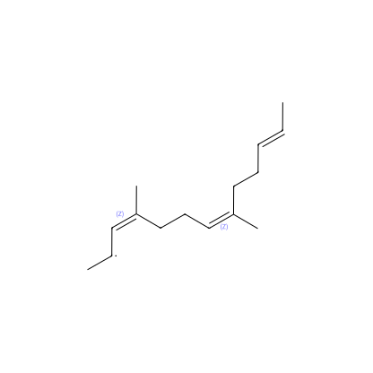 C[CH]/C=C(/C)CC/C=C(/C)CCC=CC